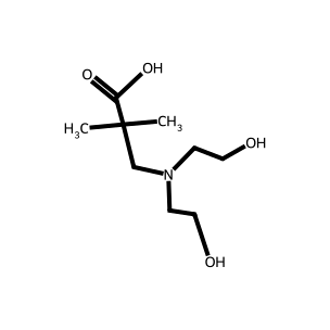 CC(C)(CN(CCO)CCO)C(=O)O